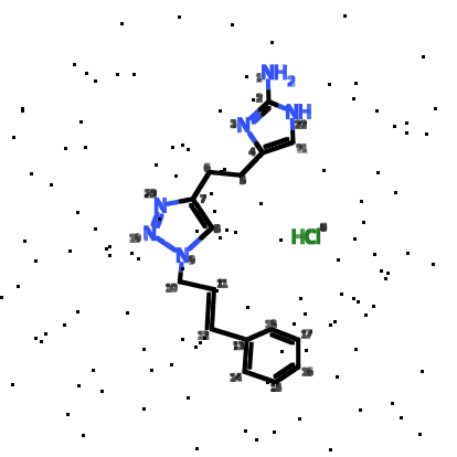 Cl.Nc1nc(CCc2cn(CC=Cc3ccccc3)nn2)c[nH]1